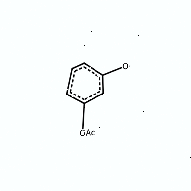 CC(=O)Oc1cccc([O])c1